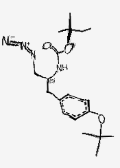 CC(C)(C)OC(=O)N[C@H](CN=[N+]=[N-])Cc1ccc(OC(C)(C)C)cc1